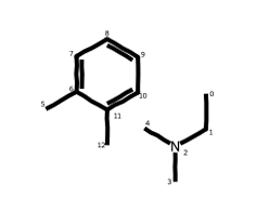 CCN(C)C.Cc1ccccc1C